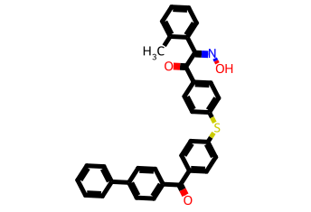 Cc1ccccc1/C(=N/O)C(=O)c1ccc(Sc2ccc(C(=O)c3ccc(-c4ccccc4)cc3)cc2)cc1